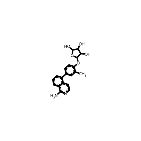 Cc1cc(-c2cccc3c(N)nccc23)ccc1OC1OC(O)C(O)C1O